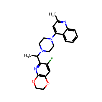 Cc1cc(N2CCN(C(C)c3nc4c(cc3F)OCCO4)CC2)c2ccccc2n1